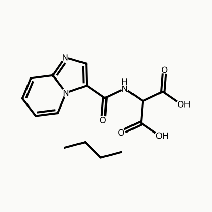 CCCC.O=C(NC(C(=O)O)C(=O)O)c1cnc2ccccn12